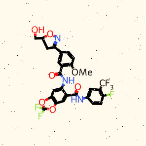 COc1ccc(C2=NOC(CO)C2)cc1C(=O)Nc1cc2c(cc1C(=O)Nc1ccc(F)c(C(F)(F)F)c1)OC(F)(F)O2